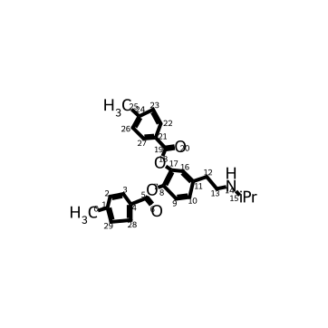 Cc1ccc(C(=O)Oc2ccc(CCNC(C)C)cc2OC(=O)c2ccc(C)cc2)cc1